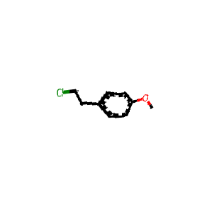 COc1ccc(C[CH]Cl)cc1